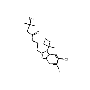 CC(C)(O)CC(=O)CCCc1nc2cc(F)c(Cl)cc2n1C1(C)CCC1